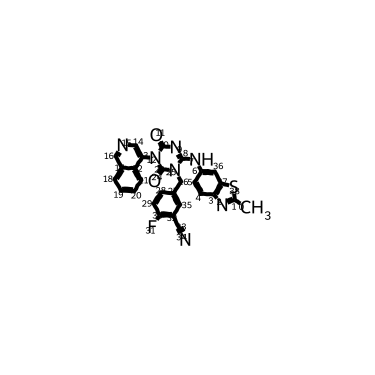 Cc1nc2ccc(Nc3nc(=O)n(-c4cncc5ccccc45)c(=O)n3Cc3ccc(F)c(C#N)c3)cc2s1